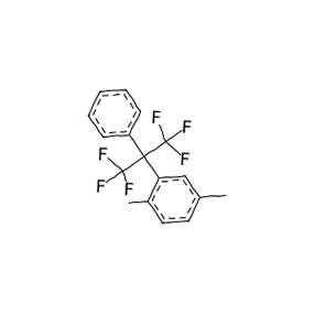 Cc1ccc(C)c(C(c2ccccc2)(C(F)(F)F)C(F)(F)F)c1